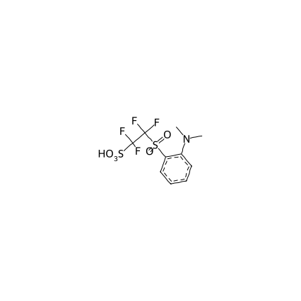 CN(C)c1ccccc1S(=O)(=O)C(F)(F)C(F)(F)S(=O)(=O)O